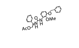 COc1c(NC(=O)N[C@@H](COC(C)=O)c2ccccc2)cccc1OCc1ccccc1